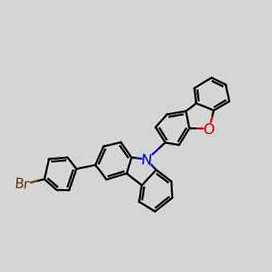 Brc1ccc(-c2ccc3c(c2)c2ccccc2n3-c2ccc3c(c2)oc2ccccc23)cc1